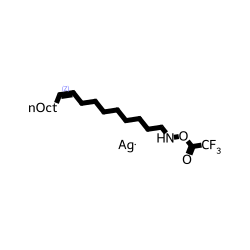 CCCCCCCC/C=C\CCCCCCCCNOC(=O)C(F)(F)F.[Ag]